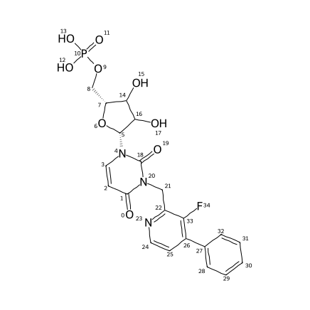 O=c1ccn([C@@H]2O[C@H](COP(=O)(O)O)C(O)C2O)c(=O)n1Cc1nccc(-c2ccccc2)c1F